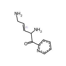 NC/C=C/C(N)C(=O)c1ccccn1